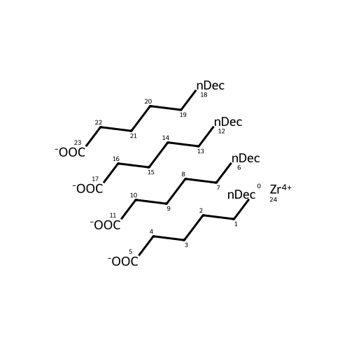 CCCCCCCCCCCCCCC(=O)[O-].CCCCCCCCCCCCCCC(=O)[O-].CCCCCCCCCCCCCCC(=O)[O-].CCCCCCCCCCCCCCC(=O)[O-].[Zr+4]